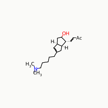 CC(=O)/C=C/[C@@H]1[C@H]2CC(CCCCCN(C)C)=C[C@H]2C[C@H]1O